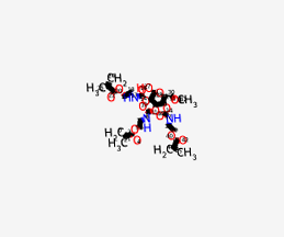 C=C(C)C(=O)OCCNC(=O)O[C@@H]1[C@@H](OC(=O)NCCOC(=O)C(=C)C)[C@@H](O)O[C@H](COC)[C@H]1OC(=O)NCCOC(=O)C(=C)C